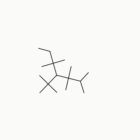 CCC(C)(C)[C](C(C)(C)C)C(C)(C)C(C)C